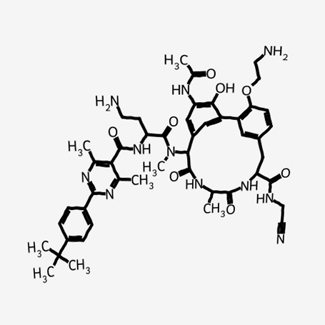 CC(=O)Nc1cc2cc(c1O)-c1cc(ccc1OCCN)CC(C(=O)NCC#N)NC(=O)C(C)NC(=O)C2N(C)C(=O)C(CCN)NC(=O)c1c(C)nc(-c2ccc(C(C)(C)C)cc2)nc1C